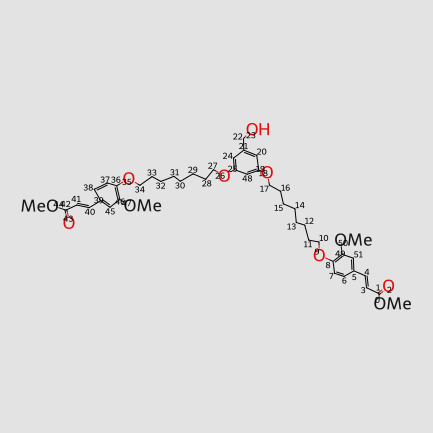 COC(=O)C=Cc1ccc(OCCCCCCCCOc2cc(CO)cc(OCCCCCCCCOc3ccc(C=CC(=O)OC)cc3OC)c2)c(OC)c1